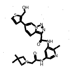 Cc1ncc(NC(=O)CN2CC(C)(C)C2)cc1NC(=O)c1nnn2cc(-c3ccsc3CO)ccc12